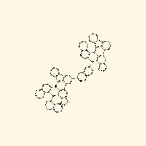 c1ccc2c(N3c4c(ccc5ccccc45)B4c5c(cc6occc6c53)-c3cc(-c5ccc6ccc(N7c8ccc9ccccc9c8B8c9c(cc%10ccoc%10c97)-c7cccc9c%10ccccc%10n8c79)cc6c5)cc5c6ccccc6n4c35)cccc2c1